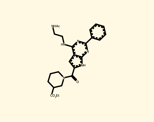 CCOC(=O)C1CCCN(C(=O)c2cc3c(NCCNC(C)=O)nc(-c4ccccc4)nc3[nH]2)C1